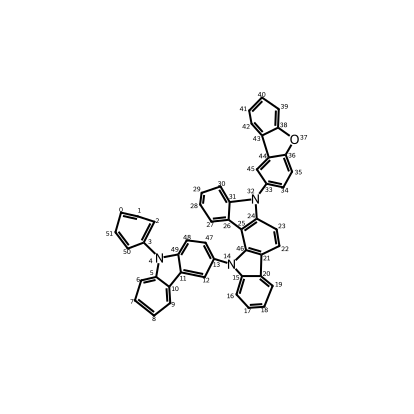 c1ccc(-n2c3ccccc3c3cc(-n4c5ccccc5c5ccc6c(c7ccccc7n6-c6ccc7oc8ccccc8c7c6)c54)ccc32)cc1